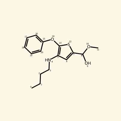 CCCCNc1cc(C(O)OC)sc1Oc1ccccc1